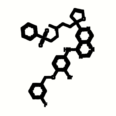 CN(CCC1(c2cc3c(Nc4ccc(OCc5cccc(F)c5)c(Br)c4)ncnc3cn2)CC=CO1)CCS(=O)(=O)c1ccccc1